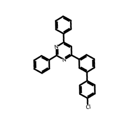 Clc1ccc(-c2cccc(-c3cc(-c4ccccc4)nc(-c4ccccc4)n3)c2)cc1